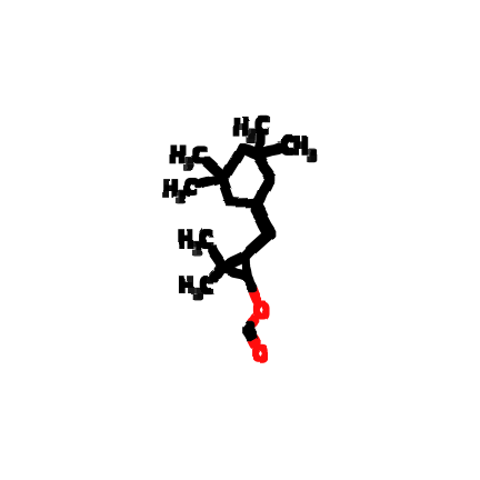 CC1(C)CC(=CC2C(OC=O)C2(C)C)CC(C)(C)C1